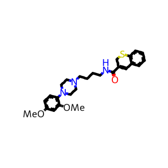 COc1ccc(N2CCN(CCCCNC(=O)C3=Cc4ccccc4SC3)CC2)c(OC)c1